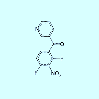 O=C(c1cccnc1)c1ccc(F)c([N+](=O)[O-])c1F